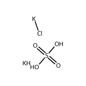 O=S(=O)(O)O.[Cl][K].[KH]